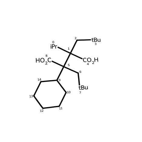 CC(C)C(CC(C)(C)C)(C(=O)O)C(CC(C)(C)C)(C(=O)O)C1CCCCC1